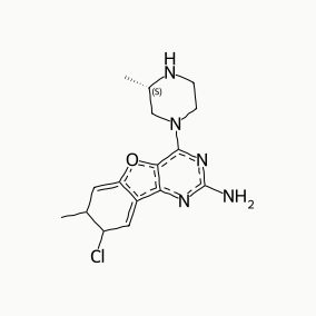 CC1C=c2oc3c(N4CCN[C@@H](C)C4)nc(N)nc3c2=CC1Cl